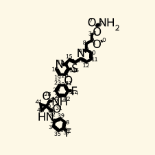 COC(COC(N)=O)Cc1cccc(-c2cc3nccc(Oc4ccc(NC(=O)C5(C(=O)Nc6ccc(F)cc6)CC5)cc4F)c3s2)n1